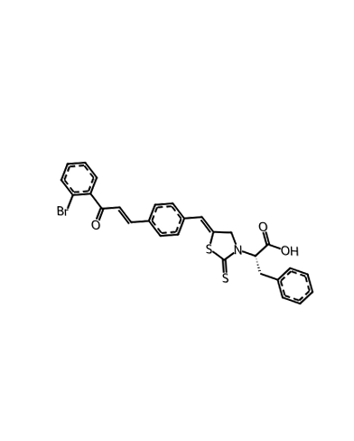 O=C(/C=C/c1ccc(/C=C2/CN([C@@H](Cc3ccccc3)C(=O)O)C(=S)S2)cc1)c1ccccc1Br